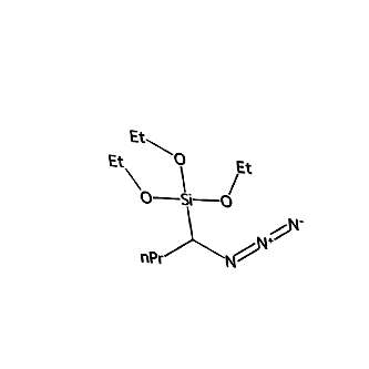 CCCC(N=[N+]=[N-])[Si](OCC)(OCC)OCC